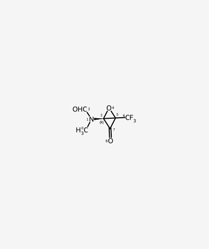 CN(C=O)[C@@]12OC1(C(F)(F)F)C2=O